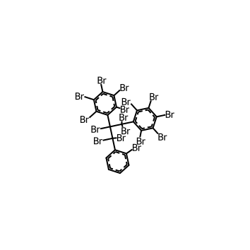 Brc1ccccc1C(Br)(Br)C(Br)(c1c(Br)c(Br)c(Br)c(Br)c1Br)C(Br)(Br)c1c(Br)c(Br)c(Br)c(Br)c1Br